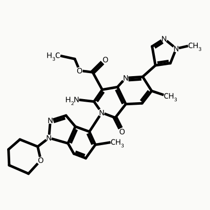 CCOC(=O)c1c(N)n(-c2c(C)ccc3c2cnn3C2CCCCO2)c(=O)c2cc(C)c(-c3cnn(C)c3)nc12